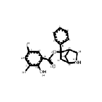 O=C(OC1(c2ccccc2)CC2CC1CN2)c1cc(I)cc(I)c1O